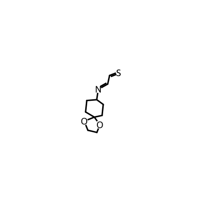 S=CC=NC1CCC2(CC1)OCCO2